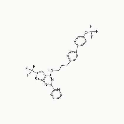 FC(F)(F)Oc1ccc(-c2ccc(CCCNc3nc(-c4ccccn4)nc4sc(C(F)(F)F)cc34)cc2)cc1